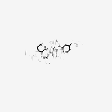 CC(C)Oc1ccnc(C(=N)NC(=S)Nc2nccc(C(F)(F)F)c2N(C)C(=O)OC(C)(C)C)c1